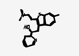 Cc1ccc2c(CC(O)c3ccccn3)c(CCN(C)C)sc2c1